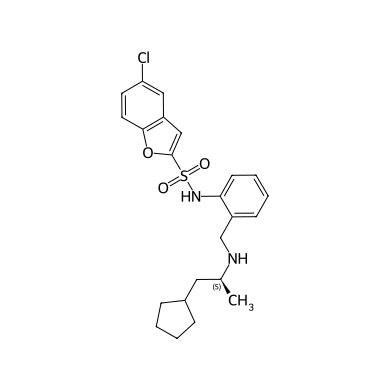 C[C@@H](CC1CCCC1)NCc1ccccc1NS(=O)(=O)c1cc2cc(Cl)ccc2o1